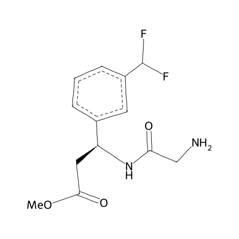 COC(=O)C[C@H](NC(=O)CN)c1cccc(C(F)F)c1